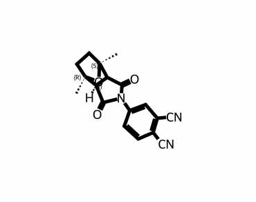 C[C@]12CC[C@](C)(O1)C1C(=O)N(c3ccc(C#N)c(C#N)c3)C(=O)[C@H]12